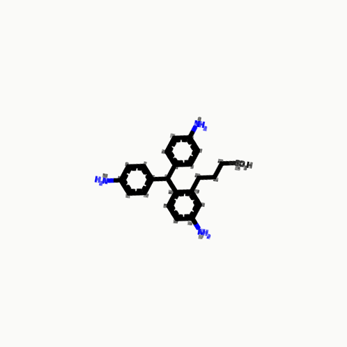 Nc1ccc(C(c2ccc(N)cc2)c2ccc(N)cc2CCCS(=O)(=O)O)cc1